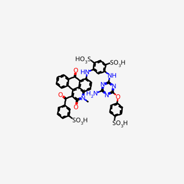 Cn1c(=O)c(C(=O)c2cccc(S(=O)(=O)O)c2)c2c3c(c(Nc4cc(Nc5nc(N)nc(Oc6ccc(S(=O)(=O)O)cc6)n5)c(S(=O)(=O)O)cc4S(=O)(=O)O)ccc31)C(=O)c1ccccc1-2